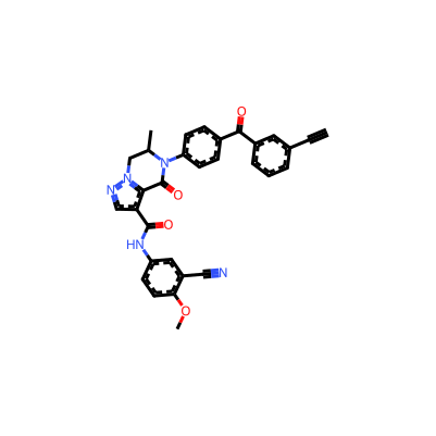 C#Cc1cccc(C(=O)c2ccc(N3C(=O)c4c(C(=O)Nc5ccc(OC)c(C#N)c5)cnn4CC3C)cc2)c1